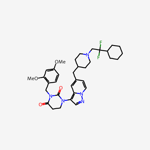 COc1ccc(CN2C(=O)CCN(c3cnn4ccc(CC5CCN(CC(F)(F)C6CCCCC6)CC5)cc34)C2=O)c(OC)c1